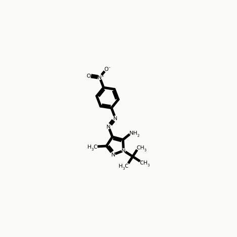 Cc1nn(C(C)(C)C)c(N)c1N=Nc1ccc([N+](=O)[O-])cc1